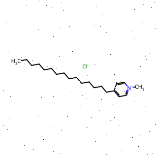 CCCCCCCCCCCCCCCc1cc[n+](C)cc1.[Cl-]